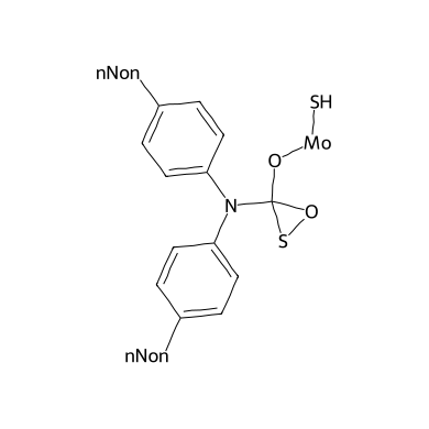 CCCCCCCCCc1ccc(N(c2ccc(CCCCCCCCC)cc2)C2([O][Mo][SH])OS2)cc1